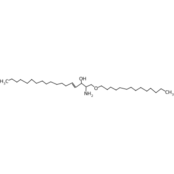 CCCCCCCCCCCCCC=CC(O)C(N)COCCCCCCCCCCCCCC